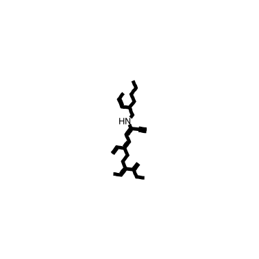 C#C/C(=C\C=C(/C=C)CC/C(=C\C)C(=C)CC)NCC(/C=C\C)CCCC